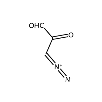 [N-]=[N+]=CC(=O)C=O